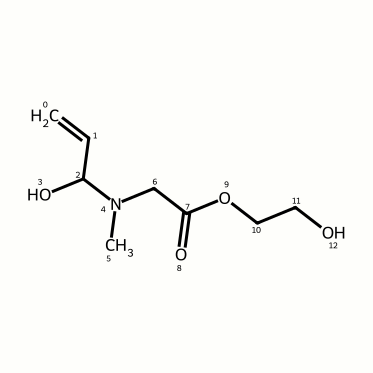 C=CC(O)N(C)CC(=O)OCCO